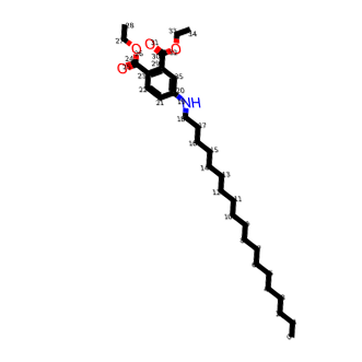 CCCCCCCCCCCCCCCCCCCNc1ccc(C(=O)OCC)c(C(=O)OCC)c1